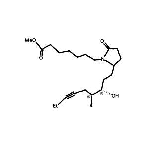 CCC#CC[C@H](C)[C@@H](O)CCC1CCC(=O)N1CCCCCCC(=O)OC